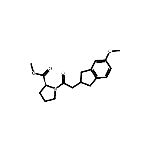 COC(=O)[C@@H]1CCCN1C(=O)CC1Cc2ccc(OC)cc2C1